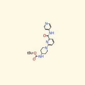 CC(C)(C)OC(=O)NC1CCN(c2cccc(C(=O)Nc3ccncc3)n2)CC1